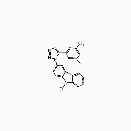 CCn1c2ccccc2c2cc(-n3nncc3-c3cc(C)cc(C(F)(F)F)c3)ccc21